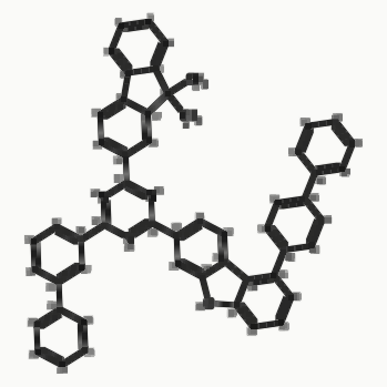 CC1(C)c2ccccc2-c2ccc(-c3nc(-c4cccc(-c5ccccc5)c4)nc(-c4ccc5c(c4)oc4cccc(-c6ccc(-c7ccccc7)cc6)c45)n3)cc21